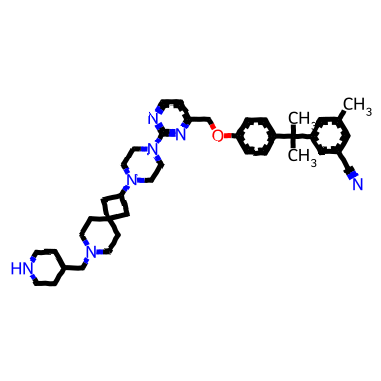 Cc1cc(C#N)cc(C(C)(C)c2ccc(OCc3ccnc(N4CCN(C5CC6(CCN(CC7CCNCC7)CC6)C5)CC4)n3)cc2)c1